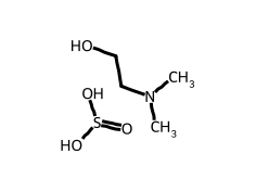 CN(C)CCO.O=S(O)O